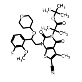 COc1c(F)cccc1C(Cn1c(=O)n(C(C)(C)C(=O)OC(C)(C)C)c(=O)c2c(C)c(C#N)sc21)OC1CCOCC1